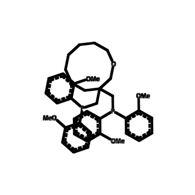 COc1ccccc1P(CC1(CP(c2ccccc2OC)c2ccccc2OC)COCCCCCOC1)c1ccccc1OC